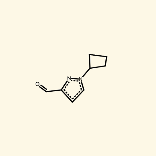 O=Cc1ccn(C2CCC2)n1